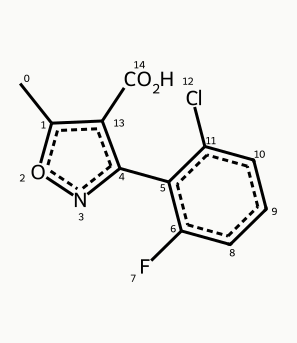 Cc1onc(-c2c(F)cccc2Cl)c1C(=O)O